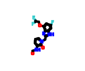 O=CNc1cccn(Cc2nc3c(OCC(F)F)cc(F)cc3[nH]2)c1=O